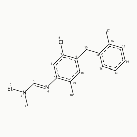 CCN(C)C=Nc1cc(Cl)c(Cc2ccccc2C)cc1C